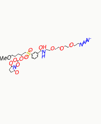 COCCCC(CS(=O)(=O)c1cccc(C(O)NCCOCCOCCOCCN=[N+]=[N-])c1)OC(=O)ON1C(=O)CCC1=O